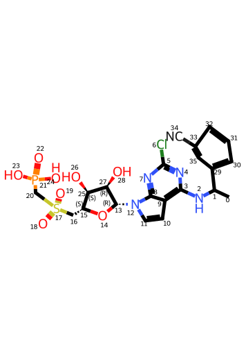 CC(Nc1nc(Cl)nc2c1ccn2[C@@H]1O[C@H](CS(=O)(=O)CP(=O)(O)O)[C@@H](O)[C@H]1O)c1cccc(C#N)c1